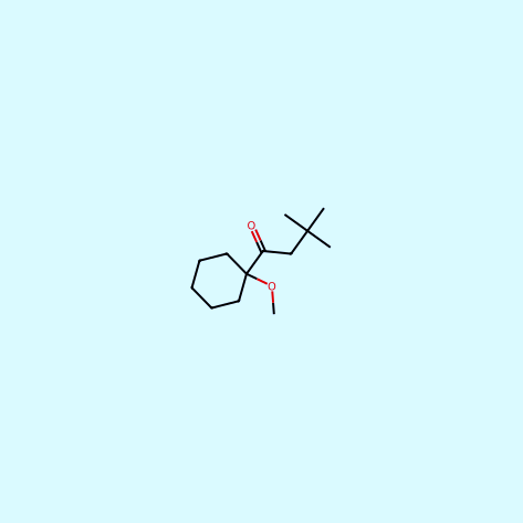 COC1(C(=O)CC(C)(C)C)CCCCC1